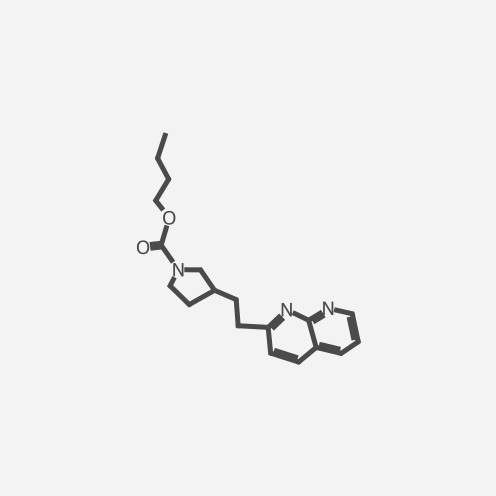 CCCCOC(=O)N1CCC(CCc2ccc3cccnc3n2)C1